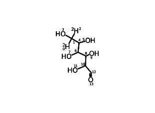 [2H]C([2H])(O)C(O)C(O)C(O)C(O)C=O